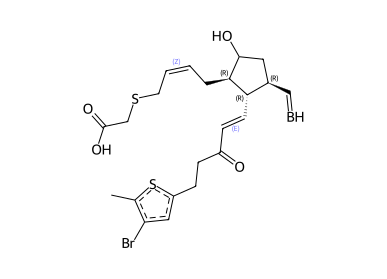 B=C[C@@H]1CC(O)[C@H](C/C=C\CSCC(=O)O)[C@H]1/C=C/C(=O)CCc1cc(Br)c(C)s1